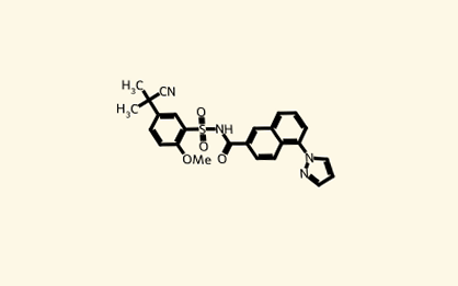 COc1ccc(C(C)(C)C#N)cc1S(=O)(=O)NC(=O)c1ccc2c(-n3cccn3)cccc2c1